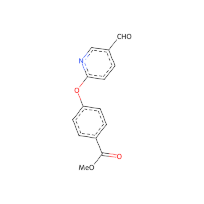 COC(=O)c1ccc(Oc2ccc(C=O)cn2)cc1